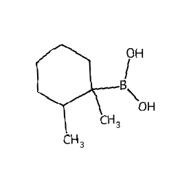 CC1CCCCC1(C)B(O)O